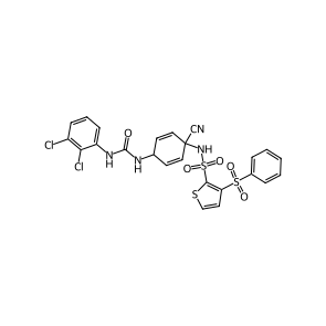 N#CC1(NS(=O)(=O)c2sccc2S(=O)(=O)c2ccccc2)C=CC(NC(=O)Nc2cccc(Cl)c2Cl)C=C1